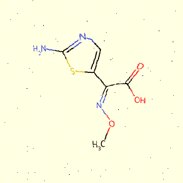 CO/N=C(\C(=O)O)c1cnc(N)s1